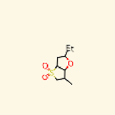 CCC1CC2C(O1)C(C)CS2(=O)=O